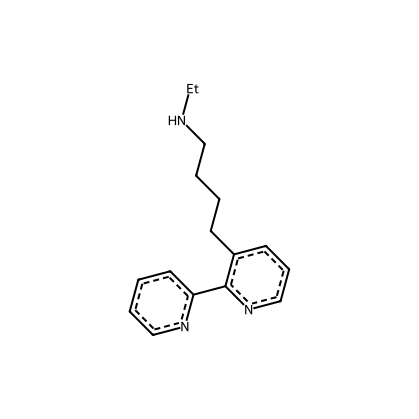 CCNCCCCc1cccnc1-c1ccccn1